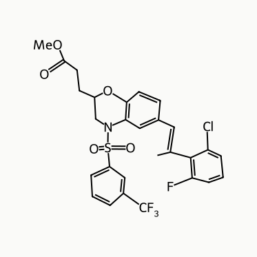 COC(=O)CCC1CN(S(=O)(=O)c2cccc(C(F)(F)F)c2)c2cc(C=C(C)c3c(F)cccc3Cl)ccc2O1